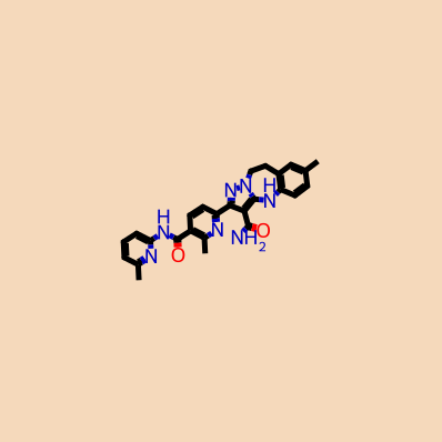 Cc1ccc2c(c1)CCn1nc(-c3ccc(C(=O)Nc4cccc(C)n4)c(C)n3)c(C(N)=O)c1N2